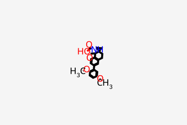 COc1ccc(OC)c(-c2ccc3c(c2)CCC2(CC2)[C@]3(C=O)NC(=O)O)c1